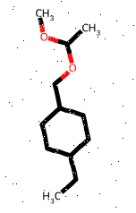 CCC1CCC(COC(C)OC)CC1